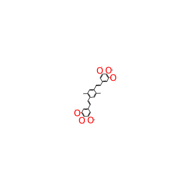 COc1cc(/C=C/c2cc(C)c(/C=C/c3cc(OC)c(OC)c(OC)c3)cc2C)cc(OC)c1OC